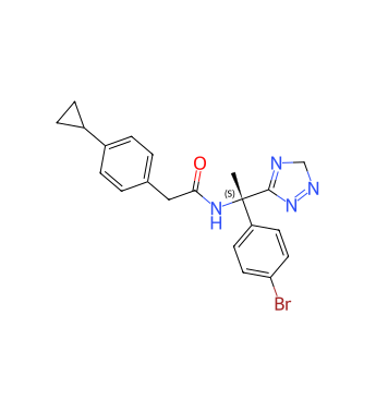 C[C@@](NC(=O)Cc1ccc(C2CC2)cc1)(C1=NCN=N1)c1ccc(Br)cc1